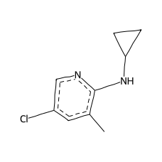 Cc1cc(Cl)cnc1NC1CC1